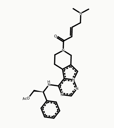 CC(=O)OC[C@@H](Nc1ncnn2cc3c(c12)CCN(C(=O)/C=C/CN(C)C)C3)c1ccccc1